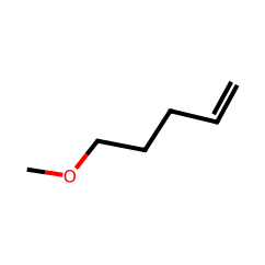 C=CCCCOC